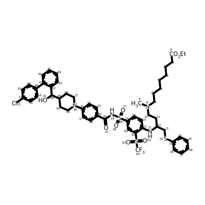 CCOC(=O)CCCCCCCN(C)CCC(CSc1ccccc1)Nc1ccc(S(=O)(=O)NC(=O)c2ccc(N3CCC(C(O)c4ccccc4-c4ccc(Cl)cc4)CC3)cc2)cc1S(=O)(=O)C(F)(F)F